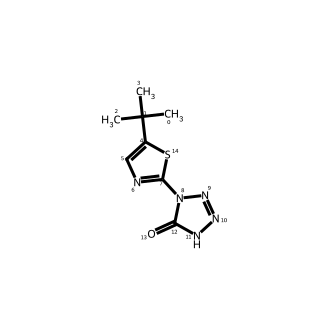 CC(C)(C)c1cnc(-n2nn[nH]c2=O)s1